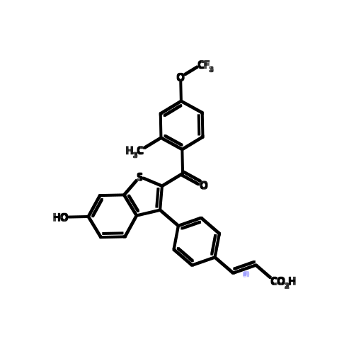 Cc1cc(OC(F)(F)F)ccc1C(=O)c1sc2cc(O)ccc2c1-c1ccc(/C=C/C(=O)O)cc1